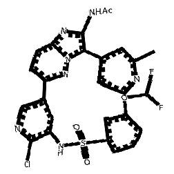 CC(=O)Nc1nc2ccc(-c3cnc(Cl)c(NS(=O)(=O)c4cccc(OC(F)F)c4)c3)nn2c1-c1ccnc(C)c1